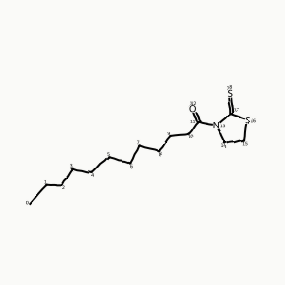 CCCCCCCCCCCC(=O)N1CCSC1=S